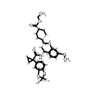 CCOC(=O)[C@H]1CC[C@H]([C@H]2C[C@@H](NC(=O)C3(c4ccc5c(c4)OC(F)(F)O5)CC3)c3ccc(OC)cc3O2)CC1